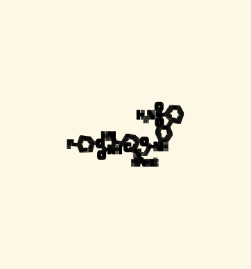 CCCCCN(CC(=O)Nc1ccc(-c2ccccc2S(N)(=O)=O)cc1)c1cccc(C(=N)NC(=O)Oc2ccc(F)cc2)c1